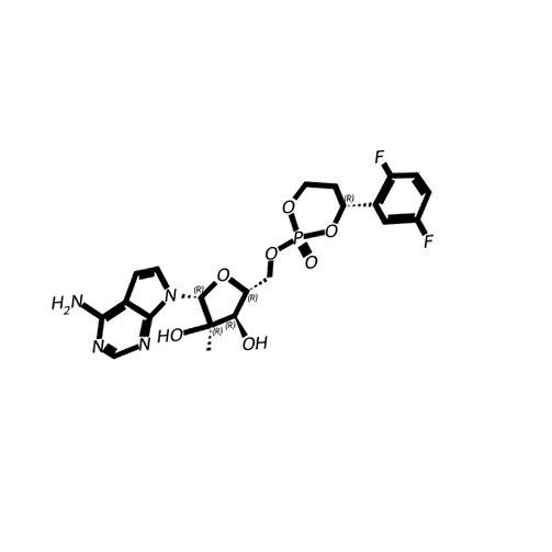 C[C@@]1(O)[C@H](O)[C@@H](COP2(=O)OCC[C@H](c3cc(F)ccc3F)O2)O[C@H]1n1ccc2c(N)ncnc21